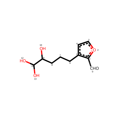 O=Cc1occc1CCCC(O)C(O)O